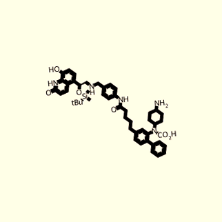 CC(C)(C)[Si](C)(C)O[C@H](CNCc1ccc(NC(=O)CCCCc2ccc(-c3ccccc3)c(N(C(=O)O)C3CCC(N)CC3)c2)cc1)c1ccc(O)c2[nH]c(=O)ccc12